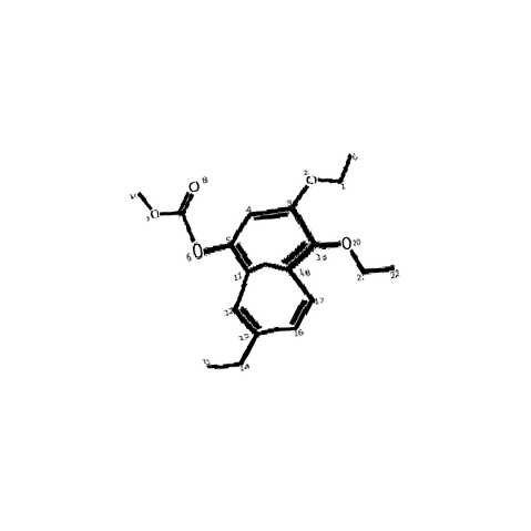 CCOc1cc(OC(=O)OC)c2cc(CC)ccc2c1OCC